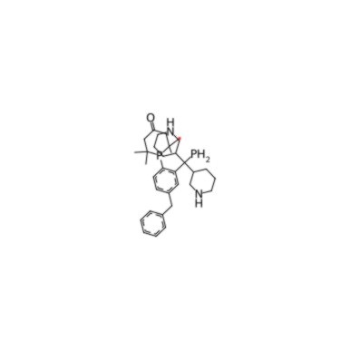 CC1(C)CC(=O)CC(C)(C)P1c1ccc(Cc2ccccc2)cc1C(P)(C1CCCNC1)C1CCCNC1